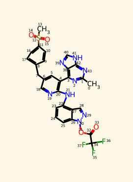 Cc1nc(-c2cc(Cc3ccc(S(C)(=O)=O)cc3)cnc2Nc2cccc3c2cnn3OC(=O)C(F)(F)F)c2nc[nH]c2n1